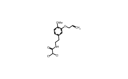 C=CCOc1cc(CCNC(=O)C(Cl)Cl)ccc1OC